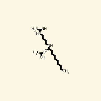 CC(=O)O.CCCCCCCCCC(=O)NCCCCNC(=N)N